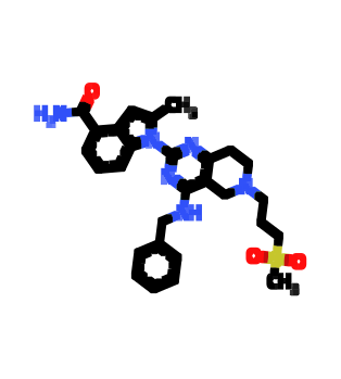 Cc1cc2c(C(N)=O)cccc2n1-c1nc2c(c(NCc3ccccc3)n1)CN(CCCS(C)(=O)=O)CC2